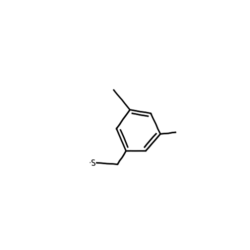 Cc1cc(C)cc(C[S])c1